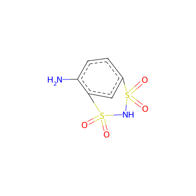 Nc1ccc2cc1S(=O)(=O)NS2(=O)=O